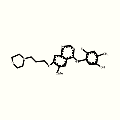 COc1cc2c(Nc3cc(O)c(C)cc3F)ncnc2cc1OCCCN1CCOCC1